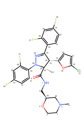 CN1CCO[C@@H](CNC(=O)[C@]2(C)[C@@H](c3ccc(Cl)o3)C(c3ccc(F)cc3F)=NN2c2ccc(F)cc2F)C1